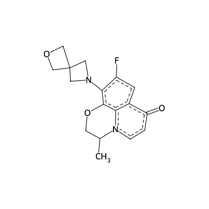 CC1COc2c(N3CC4(COC4)C3)c(F)cc3c(=O)ccn1c23